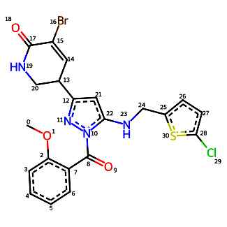 COc1ccccc1C(=O)n1nc(C2C=C(Br)C(=O)NC2)cc1NCc1ccc(Cl)s1